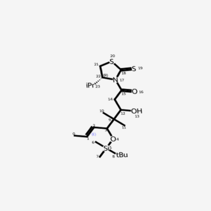 C/C=C/C(O[Si](C)(C)C(C)(C)C)C(C)(C)C(O)CC(=O)N1C(=S)SC[C@H]1C(C)C